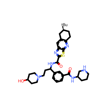 CC(C)(C)[C@H]1CCc2nc3sc(C(=O)NC(CCN4CCC(O)CC4)c4cccc(C(=O)NC5CCCNC5)c4)nc3cc2C1